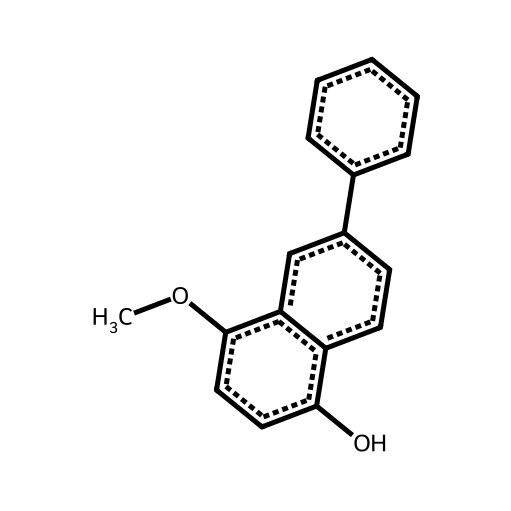 COc1ccc(O)c2ccc(-c3ccccc3)cc12